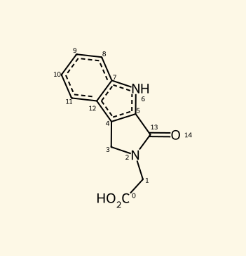 O=C(O)CN1Cc2c([nH]c3ccccc23)C1=O